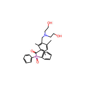 Cc1cc(C)c(C(=O)P(=O)(c2ccccc2)c2ccccc2)c(C)c1CN(CCO)CCO